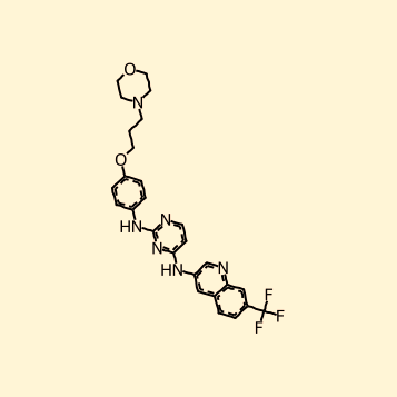 FC(F)(F)c1ccc2cc(Nc3ccnc(Nc4ccc(OCCCN5CCOCC5)cc4)n3)cnc2c1